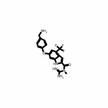 CN(C(=N)N)C(=O)c1cc2c(C(F)(F)F)cc(Oc3ccc(CN)cc3)cc2[nH]1